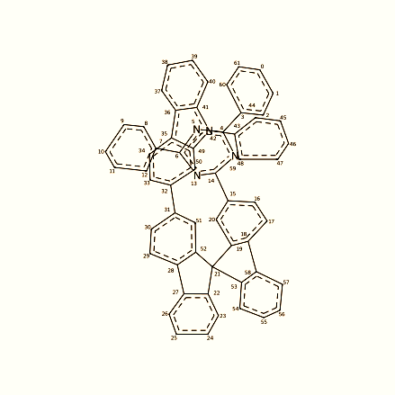 c1ccc(-c2nc(-c3ccccc3)nc(-c3ccc4c(c3)C3(c5ccccc5-c5ccc(-c6ccc7c8ccccc8n(-c8ccccc8)c7c6)cc53)c3ccccc3-4)n2)cc1